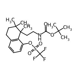 CC(C)(C)OC(=O)NCCC1(C)c2c(cccc2OS(=O)(=O)C(F)(F)F)CCC1(C)C